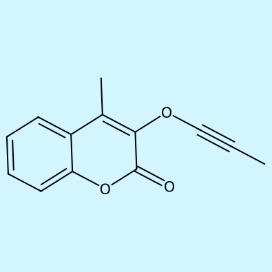 CC#COc1c(C)c2ccccc2oc1=O